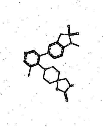 CN1c2ccc(-c3cncc(F)c3N3CCC4(CC3)CNC(=O)O4)cc2CS1(=O)=O